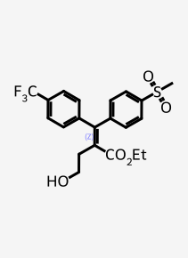 CCOC(=O)/C(CCO)=C(/c1ccc(C(F)(F)F)cc1)c1ccc(S(C)(=O)=O)cc1